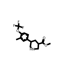 COC(=O)C1CNCC(c2ccc(OC(F)(F)F)c(C)c2)C1